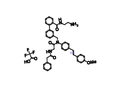 COc1ccc(/C=C/c2ccc(N(Cc3cccc(-c4ccccc4C(=O)NCCN)c3)C(=O)CNC(=O)Cc3ccccc3)cc2)cc1.O=C(O)C(F)(F)F